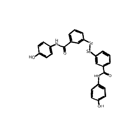 O=C(Nc1ccc(O)cc1)c1cccc([Se][Se]c2cccc(C(=O)Nc3ccc(O)cc3)c2)c1